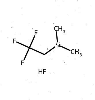 C[Si](C)CC(F)(F)F.F